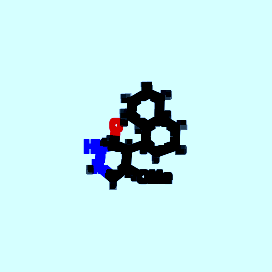 COc1cn[nH]c(=O)c1-c1cccc2ccccc12